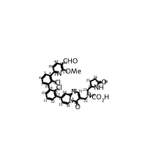 COc1nc(-c2cccc(-c3cccc(-c4ccn5c(=O)c(CN(CC6CCC(=O)N6)C(=O)O)cnc5c4)c3Cl)c2Cl)ccc1C=O